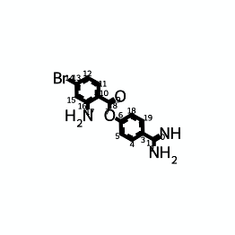 N=C(N)c1ccc(OC(=O)c2ccc(Br)cc2N)cc1